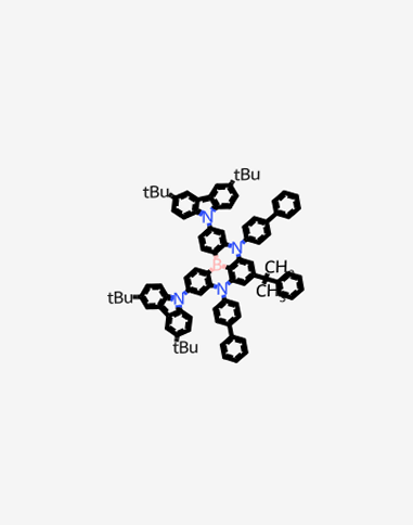 CC(C)(C)c1ccc2c(c1)c1cc(C(C)(C)C)ccc1n2-c1ccc2c(c1)N(c1ccc(-c3ccccc3)cc1)c1cc(C(C)(C)c3ccccc3)cc3c1B2c1ccc(-n2c4ccc(C(C)(C)C)cc4c4cc(C(C)(C)C)ccc42)cc1N3c1ccc(-c2ccccc2)cc1